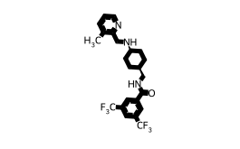 Cc1cccnc1CN[C@H]1CC[C@H](CNC(=O)c2cc(C(F)(F)F)cc(C(F)(F)F)c2)CC1